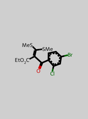 CCOC(=O)C(C(=O)c1ccc(Br)cc1Cl)=C(SC)SC